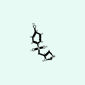 O=S(=O)(Cc1cnco1)c1ccc(Cl)cc1